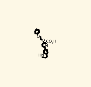 O=C(O)c1nc(-c2ccc3c(c2)NCCC3)ccc1OCCOc1ccccc1